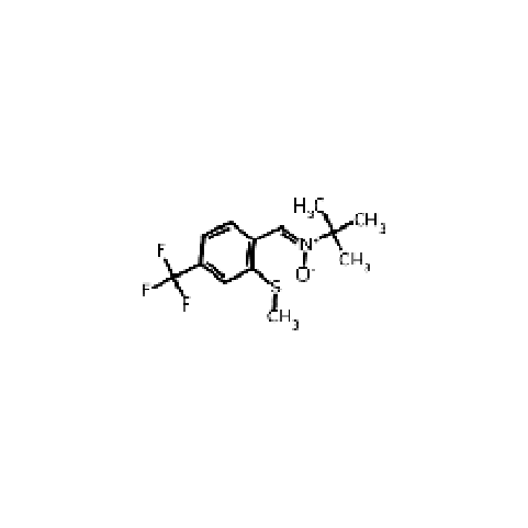 CSc1cc(C(F)(F)F)ccc1/C=[N+](\[O-])C(C)(C)C